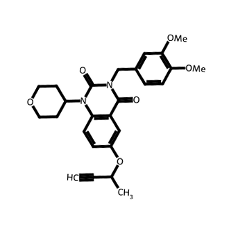 C#CC(C)Oc1ccc2c(c1)c(=O)n(Cc1ccc(OC)c(OC)c1)c(=O)n2C1CCOCC1